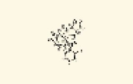 Cc1ccccc1N1[C@@H](C)c2c(n(C)c3occc23)C12C1CC3CC(C1)CC2C3